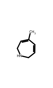 CC1=CCNCC=C1